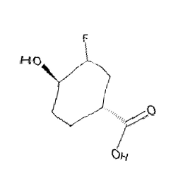 O=C(O)[C@@H]1CC[C@@H](O)C(F)C1